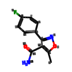 Cc1onc(-c2ccc(F)cc2)c1C(N)=O